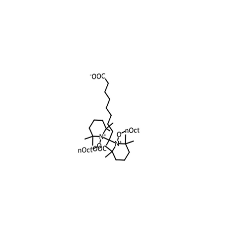 CCCCCCCCO[N+]1(C(CCCCCCCC(=O)[O-])(C(=O)[O-])[N+]2(OCCCCCCCC)C(C)(C)CCCC2(C)C)C(C)(C)CCCC1(C)C